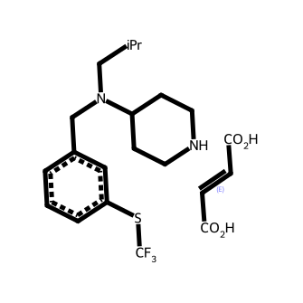 CC(C)CN(Cc1cccc(SC(F)(F)F)c1)C1CCNCC1.O=C(O)/C=C/C(=O)O